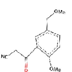 COCc1ccc(OC)c(C(=O)CC#N)c1